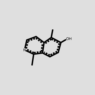 Cc1nccc2c(C)c(O)ccc12